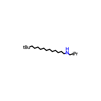 CC(C)CNCCCCCCCCCCCCC(C)(C)C